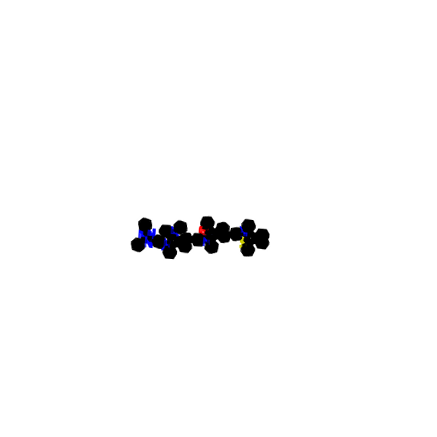 c1ccc(-c2nc(-c3ccccc3)nc(-c3ccc(-n4c5ccccc5c5c6c(c7c(c8ccccc8n7-c7ccccc7)c54)-c4ccc(-c5ccc(-n7c8ccccc8c8c9c(c%10c%11ccccc%11oc%10c87)-c7cccc8c(-c%10ccc(-n%11c%12ccccc%12c%12c%13c(c%14c%15ccccc%15sc%14c%12%11)-c%11cccc%12cccc-%13c%11%12)cc%10)ccc-9c78)cc5)c5cccc-6c45)cc3)n2)cc1